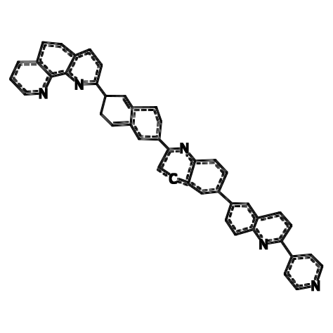 C1=c2ccc(-c3ccc4cc(-c5ccc6nc(-c7ccncc7)ccc6c5)ccc4n3)cc2=CCC1c1ccc2ccc3cccnc3c2n1